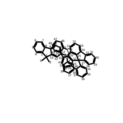 CC1(C)c2ccccc2-c2ccc(N(c3ccccc3)c3cccc4c3C3(c5ccccc5-4)c4ccccc4-c4ccc5c(oc6ccccc65)c43)cc21